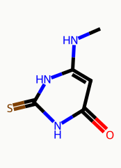 CNc1cc(=O)[nH]c(=S)[nH]1